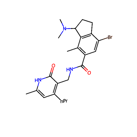 CCCc1cc(C)[nH]c(=O)c1CNC(=O)c1cc(Br)c2c(c1C)C(N(C)C)CC2